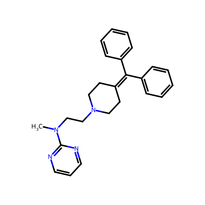 CN(CCN1CCC(=C(c2ccccc2)c2ccccc2)CC1)c1ncccn1